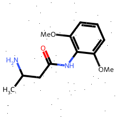 COc1cccc(OC)c1NC(=O)CC(C)N